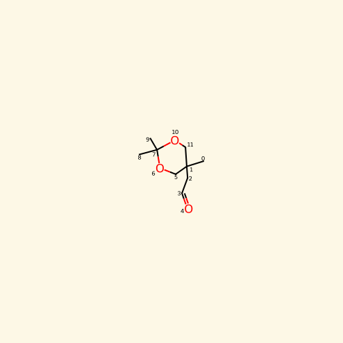 CC1(CC=O)COC(C)(C)OC1